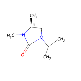 CC(C)N1C[C@H](C)N(C)C1=O